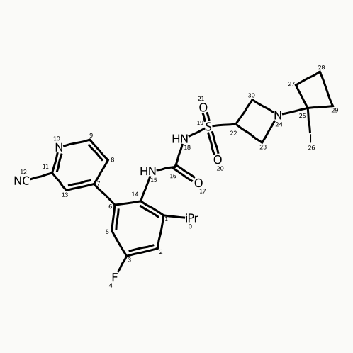 CC(C)c1cc(F)cc(-c2ccnc(C#N)c2)c1NC(=O)NS(=O)(=O)C1CN(C2(I)CCC2)C1